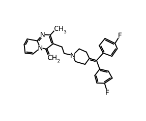 C=C1C(CCN2CCC(=C(c3ccc(F)cc3)c3ccc(F)cc3)CC2)=C(C)N=C2C=CC=CN12